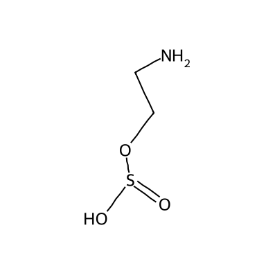 NCCOS(=O)O